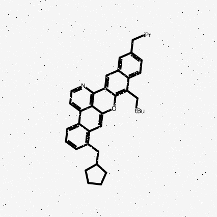 CC(C)Cc1ccc2c(CC(C)(C)C)c3c(cc2c1)-c1nccc2c1c(cc1c(CC4CCCC4)cccc12)O3